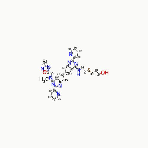 CCc1noc(CN(C)c2nc(-c3ccccn3)nc3c2CC(C2Cc4nc(-c5ccccn5)nc(NCCSCCCO)c4C2)C3)n1